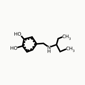 CCC(CC)NCc1ccc(O)c(O)c1